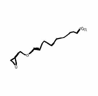 CCCCCCCCCCCCCCC=COCC1CO1